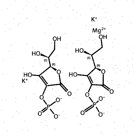 O=C1O[C@H]([C@@H](O)CO)C(O)=C1OP(=O)([O-])[O-].O=C1O[C@H]([C@@H](O)CO)C(O)=C1OP(=O)([O-])[O-].[K+].[K+].[Mg+2]